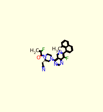 C=C(F)C(=O)N1CCN(c2ncnc3c(F)c(-c4cccc5cccc(C)c45)ncc23)C[C@@H]1CC#N